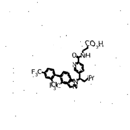 CC(C)CC(c1ccc(C(=O)NCCC(=O)O)nc1)n1ncc2c(C(F)(F)F)c(-c3ccc(C(F)(F)F)cc3Cl)ccc21